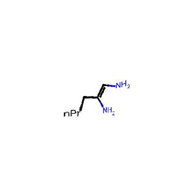 CCCCC(N)=CN